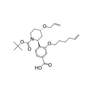 C=CCCCCOc1cc(C(=O)O)ccc1[C@@H]1C[C@@H](OCC=C)CCN1C(=O)OC(C)(C)C